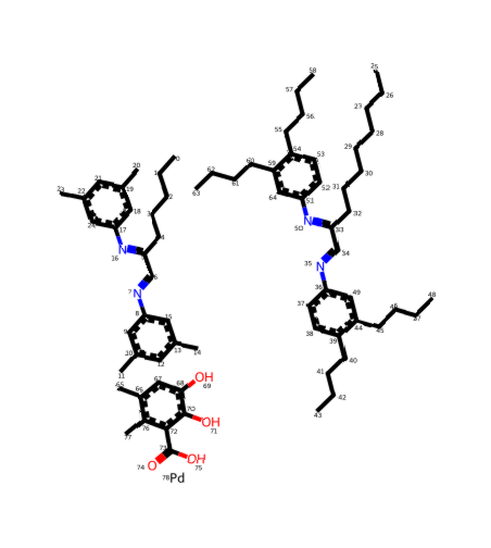 CCCCCC(C=Nc1cc(C)cc(C)c1)=Nc1cc(C)cc(C)c1.CCCCCCCCC(C=Nc1ccc(CCCC)c(CCCC)c1)=Nc1ccc(CCCC)c(CCCC)c1.Cc1cc(O)c(O)c(C(=O)O)c1C.[Pd]